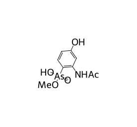 CO[As](=O)(O)c1ccc(O)cc1NC(C)=O